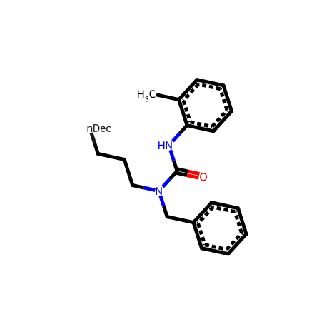 CCCCCCCCCCCCCN(Cc1ccccc1)C(=O)Nc1ccccc1C